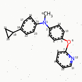 CN(c1ccc(Oc2ccccn2)cc1)c1ccc(C2CC2)cc1